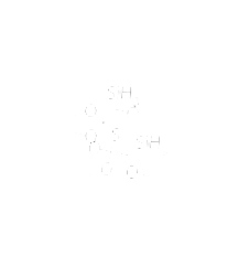 COC([SiH3])C(OC)(OC)SC(OC)(OC)C([SiH3])OC